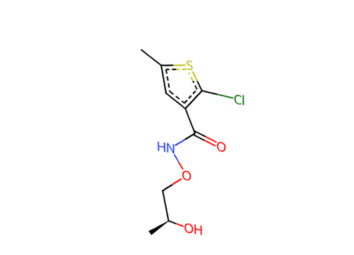 Cc1cc(C(=O)NOC[C@H](C)O)c(Cl)s1